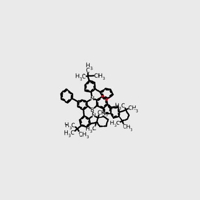 CC(C)(C)c1ccc(N2c3cc(-c4ccccc4)cc4c3B(c3c2ccc2c3sc3cc5c(cc32)C(C)(C)CCC5(C)C)N2c3c-4cc(C(C)(C)C)cc3C3(C)CCCCC23C)c(-c2ccccc2)c1